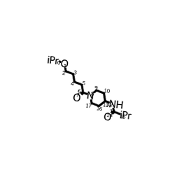 CC(C)OCCCCC(=O)N1CCC(NC(=O)C(C)C)CC1